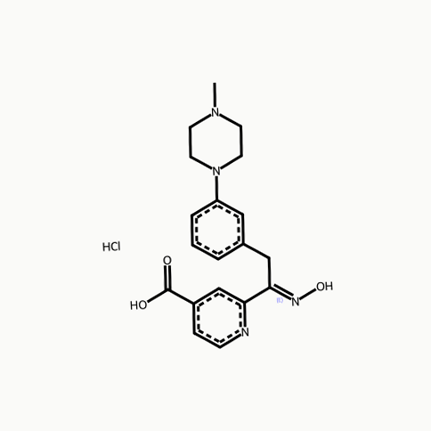 CN1CCN(c2cccc(C/C(=N\O)c3cc(C(=O)O)ccn3)c2)CC1.Cl